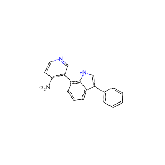 O=[N+]([O-])c1ccncc1-c1cccc2c(-c3ccccc3)c[nH]c12